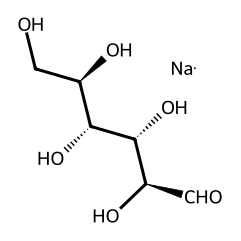 O=C[C@@H](O)[C@@H](O)[C@H](O)[C@H](O)CO.[Na]